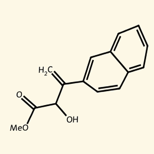 C=C(c1ccc2ccccc2c1)C(O)C(=O)OC